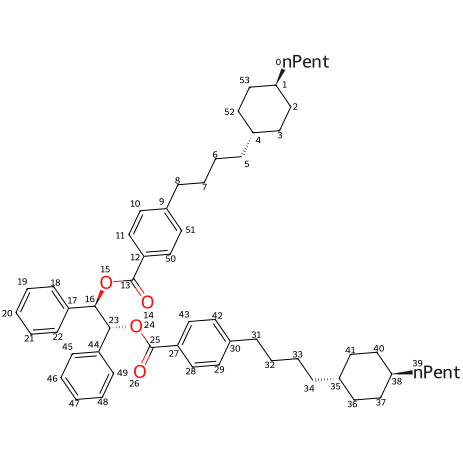 CCCCC[C@H]1CC[C@H](CCCCc2ccc(C(=O)O[C@H](c3ccccc3)[C@H](OC(=O)c3ccc(CCCC[C@H]4CC[C@H](CCCCC)CC4)cc3)c3ccccc3)cc2)CC1